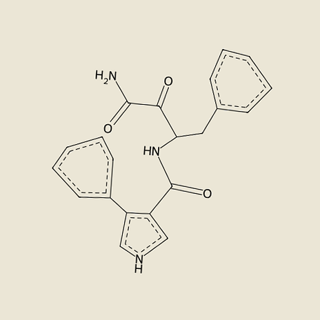 NC(=O)C(=O)C(Cc1ccccc1)NC(=O)c1c[nH]cc1-c1ccccc1